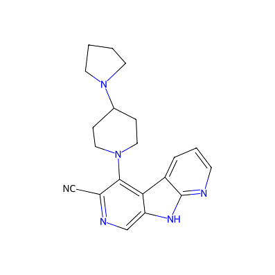 N#Cc1ncc2[nH]c3ncccc3c2c1N1CCC(N2CCCC2)CC1